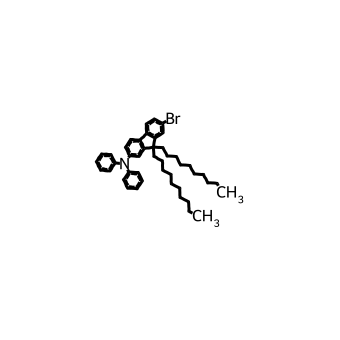 CCCCCCCCCCC1(CCCCCCCCCC)c2cc(Br)ccc2-c2ccc(N(c3ccccc3)c3ccccc3)cc21